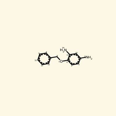 Nc1ccc(OCc2ccccc2)c(N)c1